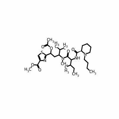 CCCCN1CCCC[C@@H]1C(=O)NC(C(=O)N(C)C(CC(OC(C)=O)c1nc(C(=O)OC)cs1)C(C)C)C(C)CC